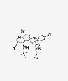 [2H]C(Nc1cc(Br)c2ncc(C#N)c(NCC(C)(C)C)c2c1)(c1ccc(Cl)cc1)c1cn(C2CC2)nn1